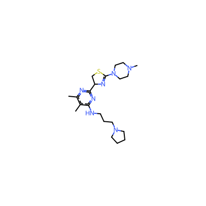 Cc1nc(C2CSC(N3CCN(C)CC3)=N2)nc(NCCCN2CCCC2)c1C